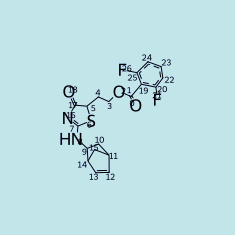 O=C(OCCC1SC(NC2CC3C=CC2C3)=NC1=O)c1c(F)cccc1F